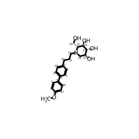 COc1ccc(-c2ccc(CCCN3C[C@H](O)[C@@H](O)[C@H](O)[C@H]3CO)cc2)cc1